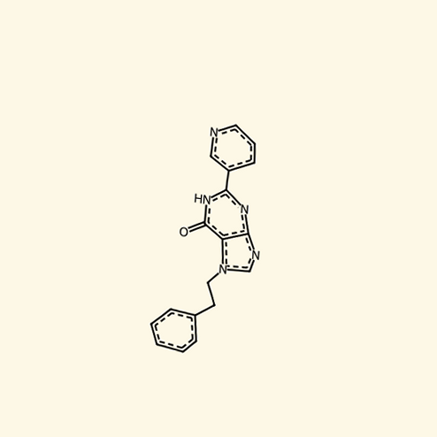 O=c1[nH]c(-c2cccnc2)nc2ncn(CCc3ccccc3)c12